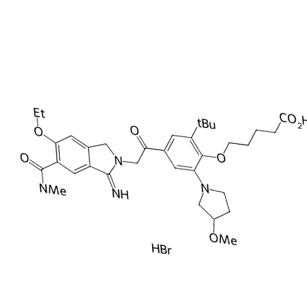 Br.CCOc1cc2c(cc1C(=O)NC)C(=N)N(CC(=O)c1cc(N3CCC(OC)C3)c(OCCCCC(=O)O)c(C(C)(C)C)c1)C2